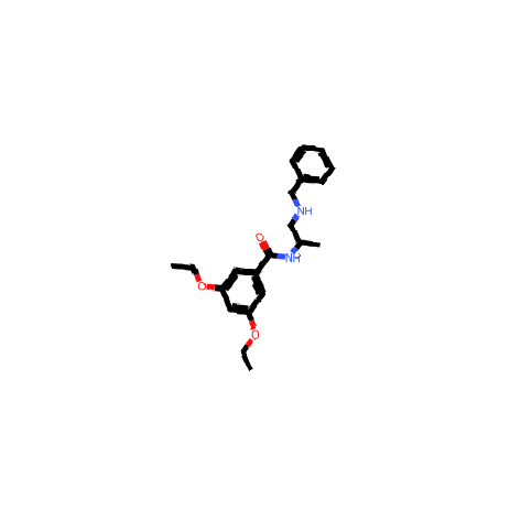 CCOc1cc(OCC)cc(C(=O)NC(C)CNCc2ccccc2)c1